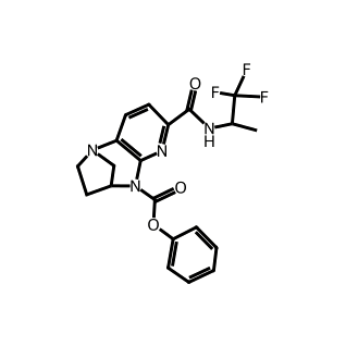 CC(NC(=O)c1ccc2c(n1)N(C(=O)Oc1ccccc1)C1CCN2C1)C(F)(F)F